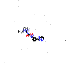 CN(C)CCNC(=O)c1nc(-c2cccc(-c3cn4ncccc4n3)c2)no1